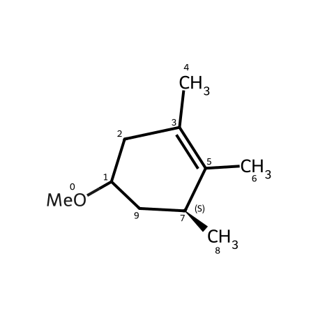 COC1CC(C)=C(C)[C@@H](C)C1